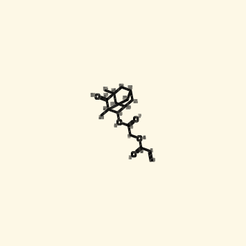 C=CC(=O)OCC(=O)OC1C2CC3CC(C)(C2)C(=O)C1(C)C3